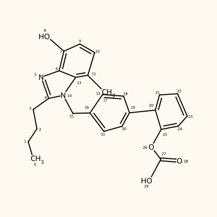 CCCCc1nc2c(O)ccc(C)c2n1Cc1ccc(-c2ccccc2OC(=O)O)cc1